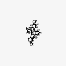 CCN1CCC[C@@H](Nc2nnc(-c3ccc(C(F)(F)F)cc3O)c3cccn23)C1.O=CO